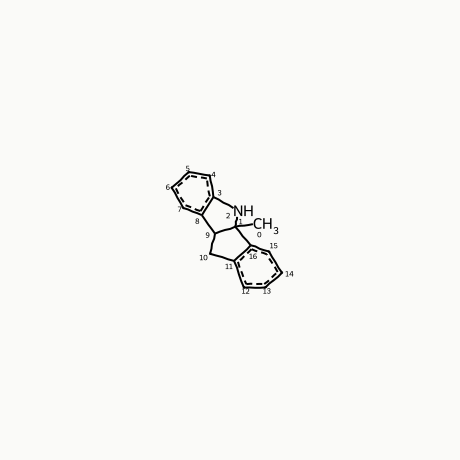 CC12Nc3ccccc3C1Cc1ccccc12